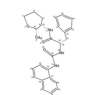 CC(=O)O[C@@H]1OCCC[C@@H]1NC(=O)[C@H](Cc1ccccc1)NC(=O)Nc1cccc2ccccc12